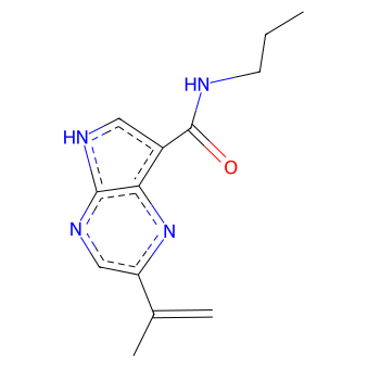 C=C(C)c1cnc2[nH]cc(C(=O)NCCC)c2n1